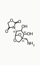 NC[C@@]12COC(O1)[C@H](N1C(=O)COC1=O)C(O)[C@H]2O